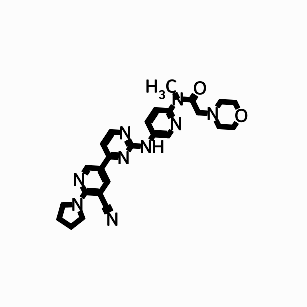 CN(C(=O)CN1CCOCC1)c1ccc(Nc2nccc(-c3cnc(N4CCCC4)c(C#N)c3)n2)cn1